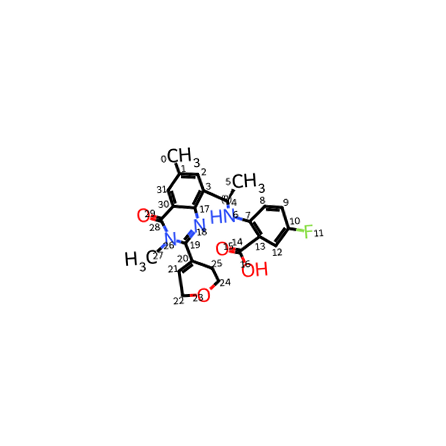 Cc1cc([C@@H](C)Nc2ccc(F)cc2C(=O)O)c2nc(C3=CCOCC3)n(C)c(=O)c2c1